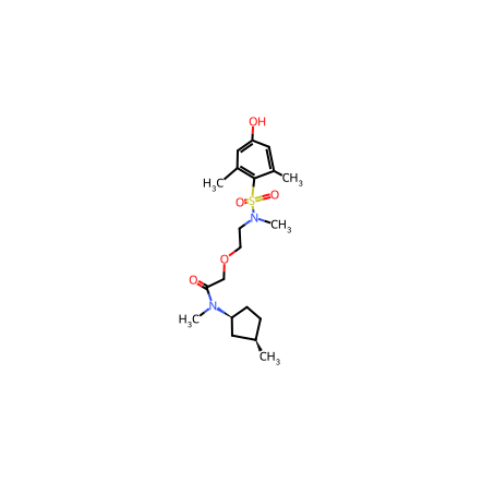 Cc1cc(O)cc(C)c1S(=O)(=O)N(C)CCOCC(=O)N(C)[C@H]1CC[C@@H](C)C1